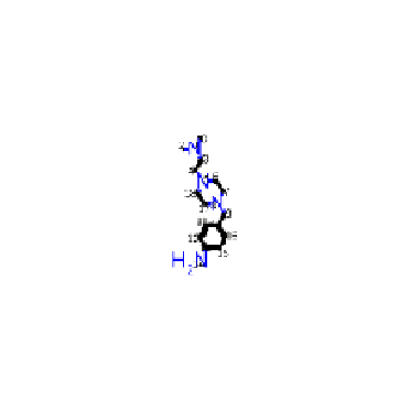 CN(C)CCN1CCN(Cc2ccc(N)cc2)CC1